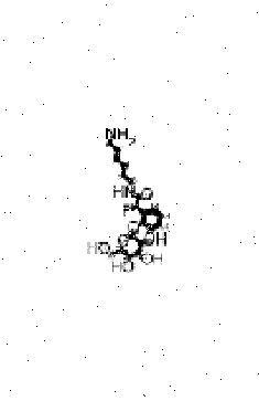 NCCCCCCNC(=O)C(F)c1ccccc1O[C@@H]1O[C@H](CO)[C@H](O)[C@@H](O)[C@@H]1O